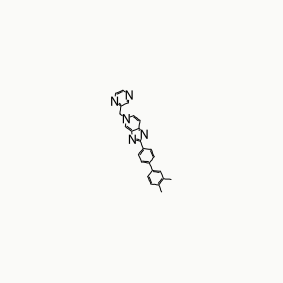 Cc1ccc(-c2ccc(-c3nc4ccn(Cc5cnccn5)cc-4n3)cc2)cc1C